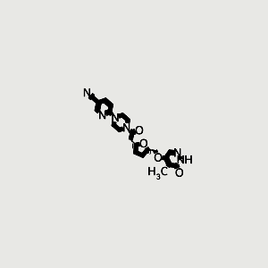 Cc1c(OC[C@@H]2CC[C@H](CC(=O)N3CCN(c4ccc(C#N)cn4)CC3)O2)cn[nH]c1=O